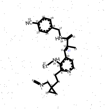 C=NCC1(CCc2nccc(/C=C(\C)C(=C)NCc3ccc(C#N)cc3)c2NCC)CC1